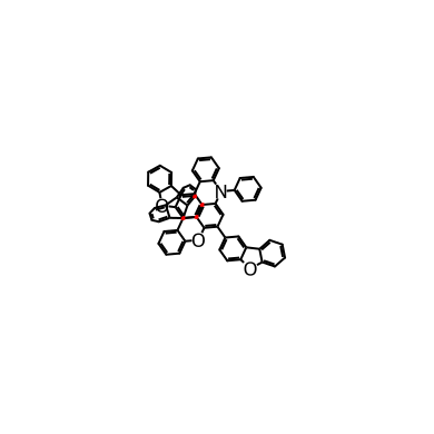 c1ccc(N(c2cc(-c3ccc4oc5ccccc5c4c3)c3c(c2)C2(c4ccccc4O3)c3ccccc3-c3ccccc32)c2ccccc2-c2cccc3oc4ccccc4c23)cc1